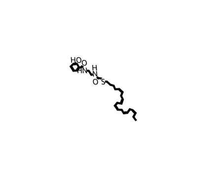 CC/C=C\C/C=C\C/C=C\C/C=C\C/C=C\CCCCSCC(=O)NCCNC(=O)c1ccccc1O